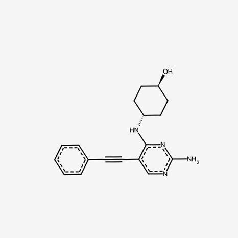 Nc1ncc(C#Cc2ccccc2)c(N[C@H]2CC[C@H](O)CC2)n1